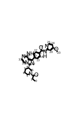 CCC(=O)N1CCC[C@@H](c2nc(-c3ccc(C(=O)Nc4cc(OC)ccn4)cc3)c3c(N)nccn23)C1